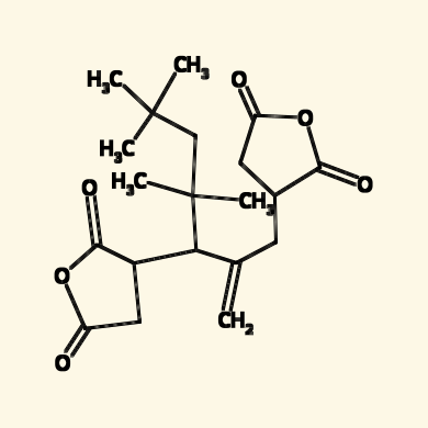 C=C(CC1CC(=O)OC1=O)C(C1CC(=O)OC1=O)C(C)(C)CC(C)(C)C